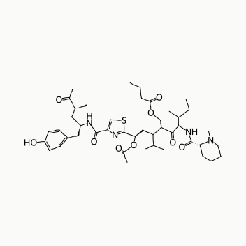 CCCC(=O)OCC(C(=O)C(NC(=O)[C@H]1CCCCN1C)C(C)CC)C(C[C@@H](OC(C)=O)c1nc(C(=O)N[C@@H](Cc2ccc(O)cc2)C[C@H](C)C(C)=O)cs1)C(C)C